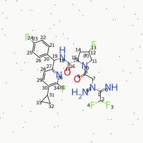 N=C(C(F)F)N(N)CC(=O)N1C[C@H](F)C[C@H]1C(=O)NC(c1ccc(F)cc1)c1ccc(C2CC2)c(F)n1